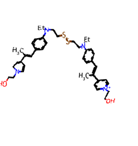 CCN(CCSSCCN(CC)c1ccc(/C=C(\C)c2cc[n+](CCO)cc2)cc1)c1ccc(/C=C(\C)C2=CCN(CCO)C=C2)cc1